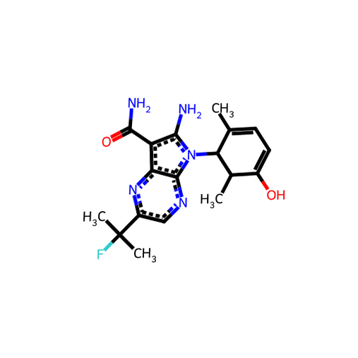 CC1=CC=C(O)C(C)C1n1c(N)c(C(N)=O)c2nc(C(C)(C)F)cnc21